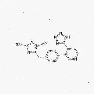 CCCn1nc(C(C)(C)C)nc1Cc1ccc(-c2cnccc2-c2nnn[nH]2)cc1